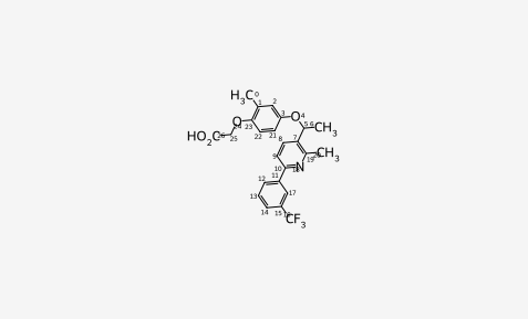 Cc1cc(OC(C)c2ccc(-c3cccc(C(F)(F)F)c3)nc2C)ccc1OCC(=O)O